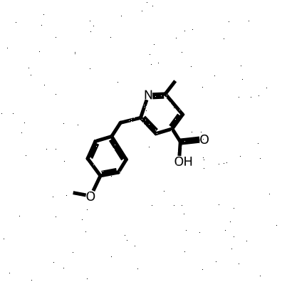 COc1ccc(Cc2cc(C(=O)O)cc(C)n2)cc1